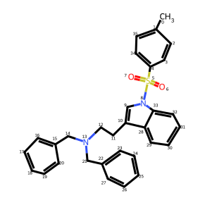 Cc1ccc(S(=O)(=O)n2cc(CCN(Cc3ccccc3)Cc3ccccc3)c3ccccc32)cc1